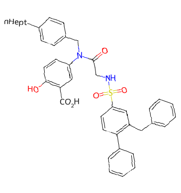 CCCCCCCc1ccc(CN(C(=O)CNS(=O)(=O)c2ccc(-c3ccccc3)c(Cc3ccccc3)c2)c2ccc(O)c(C(=O)O)c2)cc1